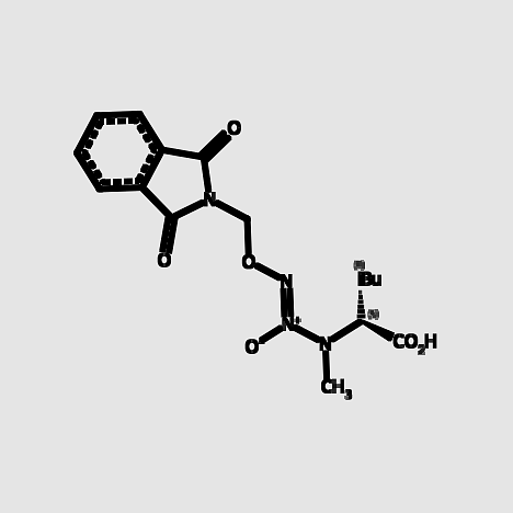 CC[C@@H](C)[C@@H](C(=O)O)N(C)[N+]([O-])=NOCN1C(=O)c2ccccc2C1=O